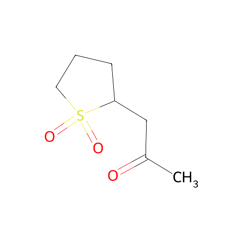 CC(=O)CC1CCCS1(=O)=O